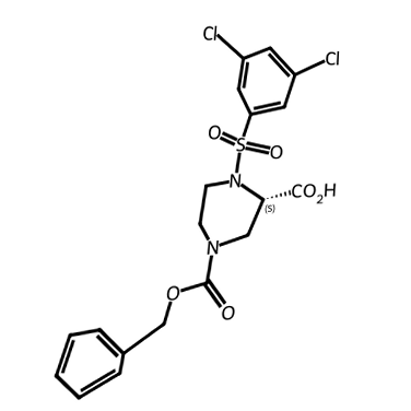 O=C(O)[C@@H]1CN(C(=O)OCc2ccccc2)CCN1S(=O)(=O)c1cc(Cl)cc(Cl)c1